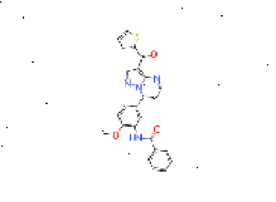 COc1ccc(-c2ccnc3c(C(=O)c4cccs4)cnn23)cc1NC(=O)c1ccccc1